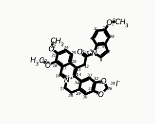 COc1ccc2c(ccn2C(=O)Cc2c3[n+](cc4c(OC)c(OC)ccc24)CCc2cc4c(cc2-3)OCO4)c1.[I-]